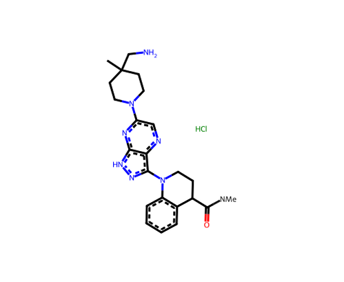 CNC(=O)C1CCN(c2n[nH]c3nc(N4CCC(C)(CN)CC4)cnc23)c2ccccc21.Cl